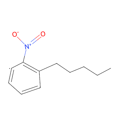 CCCCCc1ccc[c]c1[N+](=O)[O-]